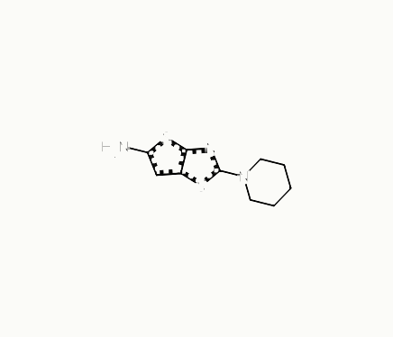 Nc1cc2sc(N3CCCCC3)nc2s1